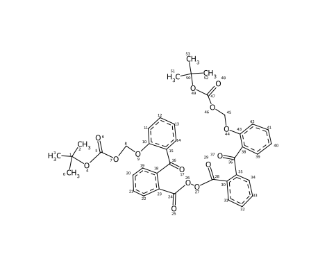 CC(C)(C)OC(=O)OCOc1ccccc1C(=O)c1ccccc1C(=O)OOC(=O)c1ccccc1C(=O)c1ccccc1OCOC(=O)OC(C)(C)C